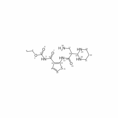 CCOC(=O)NC(=O)c1ccsc1NC(=O)C(CN)C1NCCCN1